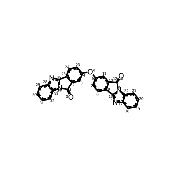 O=C1c2cc(Oc3ccc4c(c3)C(=O)n3c-4nc4ccccc43)ccc2-c2nc3ccccc3n21